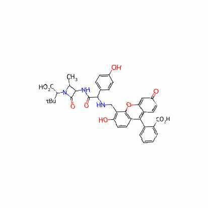 CC1C(NC(=O)C(NCc2c(O)ccc3c(-c4ccccc4C(=O)O)c4ccc(=O)cc-4oc23)c2ccc(O)cc2)C(=O)N1C(C(=O)O)C(C)(C)C